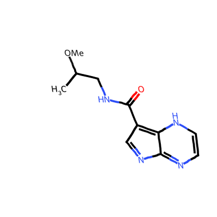 COC(C)CNC(=O)c1cnc2ncc[nH]c1-2